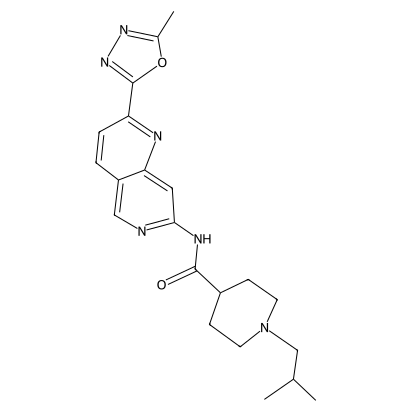 Cc1nnc(-c2ccc3cnc(NC(=O)C4CCN(CC(C)C)CC4)cc3n2)o1